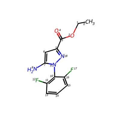 CCOC(=O)c1cc(N)n(-c2c(F)cccc2F)n1